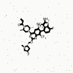 C=CC(=O)N1C[C@H](C)N(c2nc(OC[C@@H]3C[C@@H](F)CN3C)nc3c(C(F)(F)F)c(-c4ccc(F)c5sc(N)c(C#N)c45)c(C(F)(F)F)cc23)C[C@H]1C